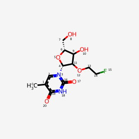 Cc1cn([C@@H]2O[C@H](CO)C(O)C2OCCF)c(=O)[nH]c1=O